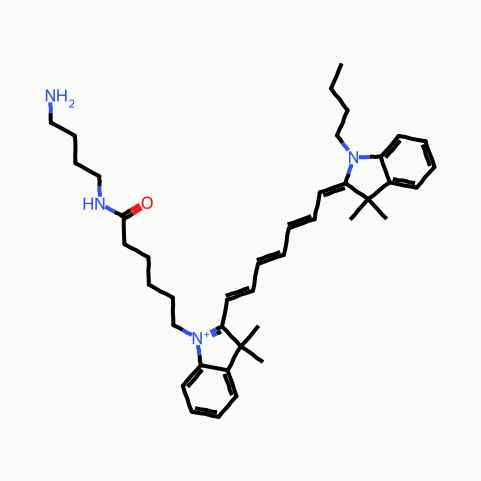 CCCCN1/C(=C/C=C/C=C/C=C/C2=[N+](CCCCCC(=O)NCCCCN)c3ccccc3C2(C)C)C(C)(C)c2ccccc21